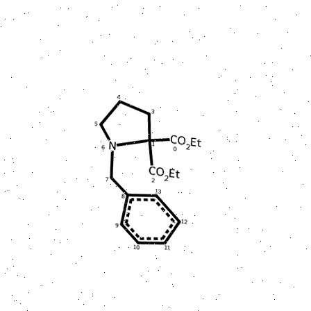 CCOC(=O)C1(C(=O)OCC)CCCN1Cc1ccccc1